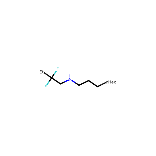 CCCCCCCCCNCC(F)(F)CC